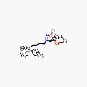 CCO[Si](C)(CNCCCC[Si](C)(C)C(C)(C)C)OCC